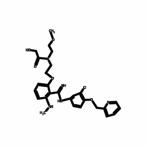 CNc1cccc(OCCN(CCOC)C(=O)CO)c1C(=N)Nc1ccc(OCc2ccccn2)c(Cl)c1